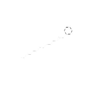 O=[C]CCCCCCCCCCCNCc1ccccc1